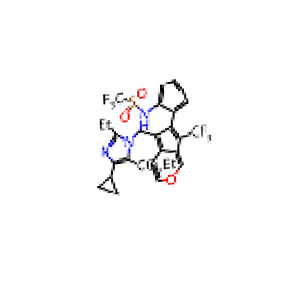 CCOC(=O)c1c(C2CC2)nc(CC)n1Cc1c2ccocc-2c(C(F)(F)F)c1-c1ccccc1NS(=O)(=O)C(F)(F)F